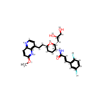 COc1ccc2nccc(CC[C@@H]3CC[C@@H](NC(=O)C=Cc4cc(F)ccc4F)[C@@H](C[C@@H](O)CO)O3)c2n1